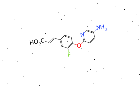 Nc1ccc(Oc2ccc(/C=C/C(=O)O)cc2F)nc1